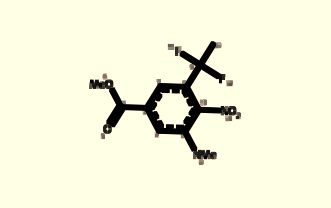 CNc1cc(C(=O)OC)cc(C(C)(F)F)c1[N+](=O)[O-]